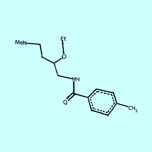 CCOC(CCNC)CNC(=O)c1ccc(C)cc1